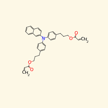 C=CC(=O)OCCCc1ccc(N(c2ccc(CCCOC(=O)C=C)cc2)c2ccc3ccccc3c2)cc1